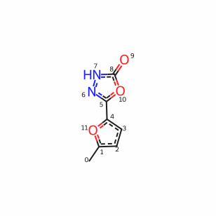 Cc1ccc(-c2n[nH]c(=O)o2)o1